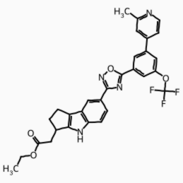 CCOC(=O)CC1CCc2c1[nH]c1ccc(-c3noc(-c4cc(OC(F)(F)F)cc(-c5ccnc(C)c5)c4)n3)cc21